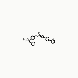 CN(CC1CCCCC1)c1ccc(CCC(=O)N2CC(N3CCN(c4ccccn4)CC3)C2)cc1